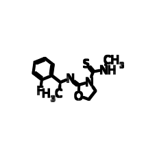 CNC(=S)N1CCOC1=N[C@@H](C)c1ccccc1F